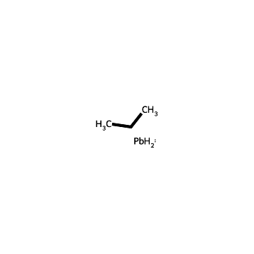 CCC.[PbH2]